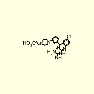 CN1C(NC(=N)N)=Nc2ccc(Cl)cc2C1c1cccc(N2CCN(CCC(=O)O)CC2)c1